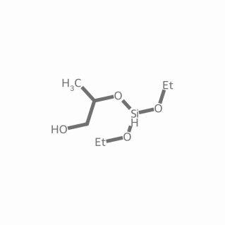 CCO[SiH](OCC)OC(C)CO